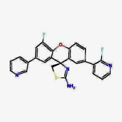 NC1=N[C@@]2(CS1)c1cc(-c3cccnc3F)ccc1Oc1c(F)cc(-c3cccnc3)cc12